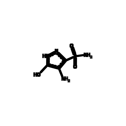 Nc1c(S(N)(=O)=O)n[nH]c1O